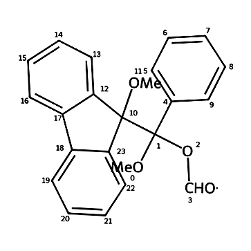 COC(O[C]=O)(c1ccccc1)C1(OC)c2ccccc2-c2ccccc21